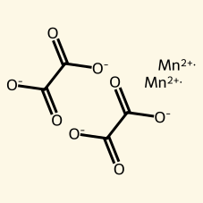 O=C([O-])C(=O)[O-].O=C([O-])C(=O)[O-].[Mn+2].[Mn+2]